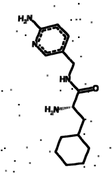 Nc1ccc(CNC(=O)[C@@H](N)CC2CCCCC2)cn1